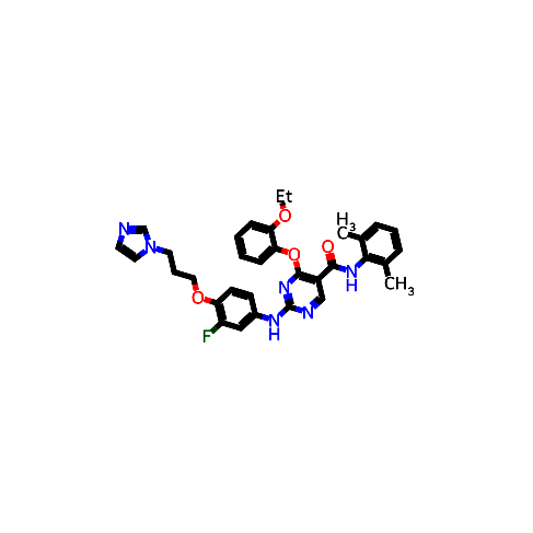 CCOc1ccccc1Oc1nc(Nc2ccc(OCCCn3ccnc3)c(F)c2)ncc1C(=O)Nc1c(C)cccc1C